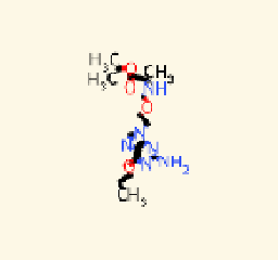 CCCOc1nc(N)nc2c1ncn2CCOCN[C@@H](C)C(=O)OC(C)C